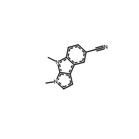 Cn1ccc2c3cc(C#N)ccc3n(C)c21